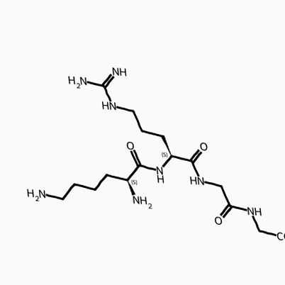 N=C(N)NCCC[C@H](NC(=O)[C@@H](N)CCCCN)C(=O)NCC(=O)NCC(=O)O